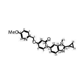 COc1ccc(COc2ccn(-c3ccc4nc(C5CC5)n(C)c4c3)c(=O)c2)nc1